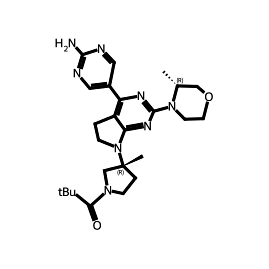 C[C@@H]1COCCN1c1nc(-c2cnc(N)nc2)c2c(n1)N([C@]1(C)CCN(C(=O)C(C)(C)C)C1)CC2